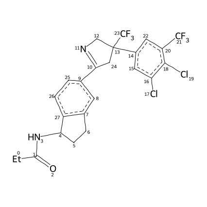 CCC(=O)NC1CCc2cc(C3=NCC(c4cc(Cl)c(Cl)c(C(F)(F)F)c4)(C(F)(F)F)C3)ccc21